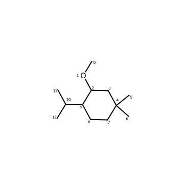 COC1CC(C)(C)CCC1C(C)C